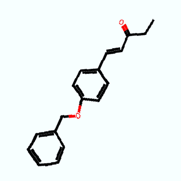 CCC(=O)C=Cc1ccc(OCc2ccccc2)cc1